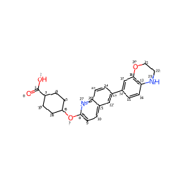 O=C(O)C1CCC(Oc2ccc3cc(-c4ccc5c(c4)OCCN5)ccc3n2)CC1